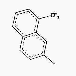 Cc1ccc2cccc(C(F)(F)F)c2c1